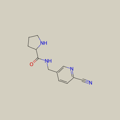 N#Cc1ccc(CNC(=O)C2CCCN2)cn1